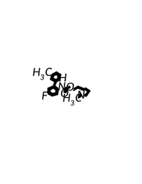 Cc1cccc(-c2cc(F)ccc2NC(=O)OCCC2CCCN2C)c1